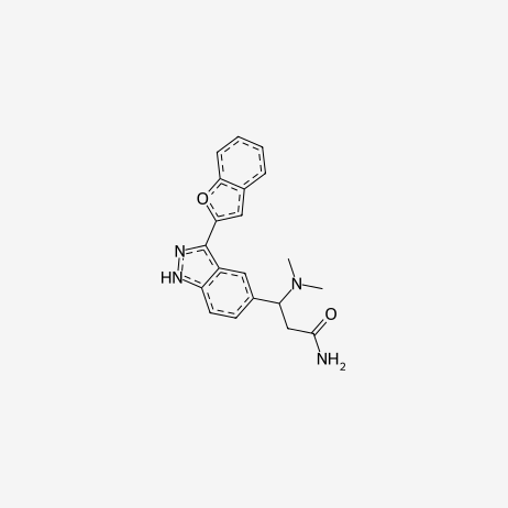 CN(C)C(CC(N)=O)c1ccc2[nH]nc(-c3cc4ccccc4o3)c2c1